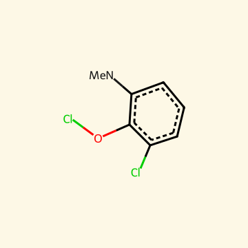 CNc1cccc(Cl)c1OCl